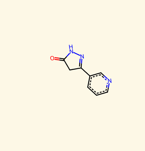 O=C1CC(c2cccnc2)=NN1